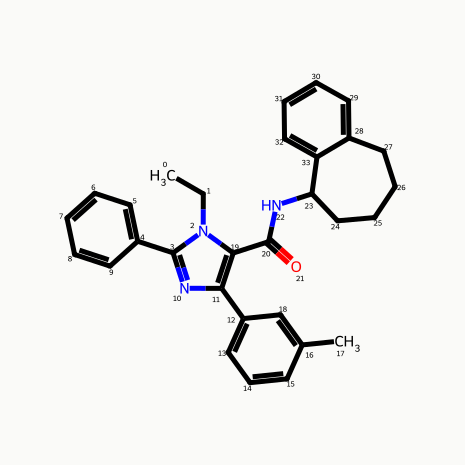 CCn1c(-c2ccccc2)nc(-c2cccc(C)c2)c1C(=O)NC1CCCCc2ccccc21